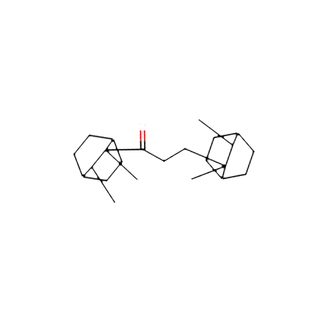 CC1C2CCC(CC2)C1(C)CCC(=O)C1(C)C2CCC(CC2)C1C